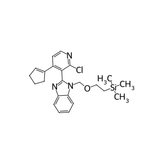 C[Si](C)(C)CCOCn1c(-c2c(C3=CCCC3)ccnc2Cl)nc2ccccc21